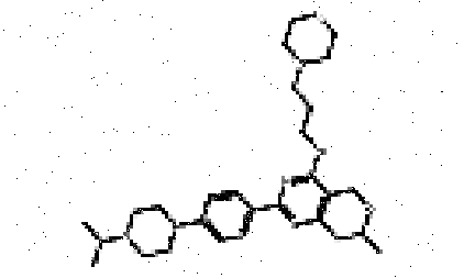 CC1Cc2nc(-c3ccc(N4CCN(C(C)C)CC4)cc3)nc(NCCCN3CCOCC3)c2CO1